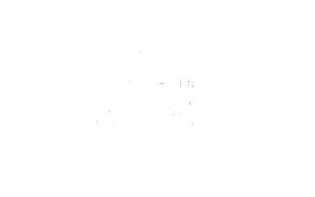 CCOC(=O)C[C@H](NC(=O)OC(C)(C)C)c1c(F)c(C)cc(-c2c(C)cccc2OCc2ccc(OC)c(OC)c2)c1F